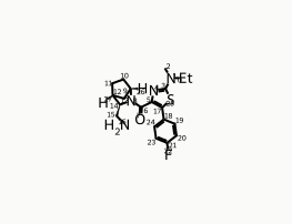 CCN(C)c1nc(C(=O)N2[C@H]3CC[C@H](C3)[C@@H]2CN)c(-c2ccc(F)cc2)s1